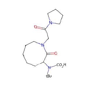 CC(C)(C)N(C(=O)O)C1CCCCCN(CC(=O)N2CCCC2)C1=O